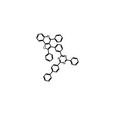 c1ccc(-c2ccc(-c3nc(-c4ccccc4)nc(-c4cccc(-c5c(-c6ccccc6)oc6c5c(-c5ccccc5)nc5ccccc56)c4)n3)cc2)cc1